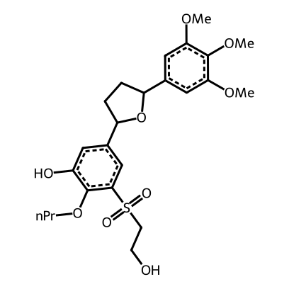 CCCOc1c(O)cc(C2CCC(c3cc(OC)c(OC)c(OC)c3)O2)cc1S(=O)(=O)CCO